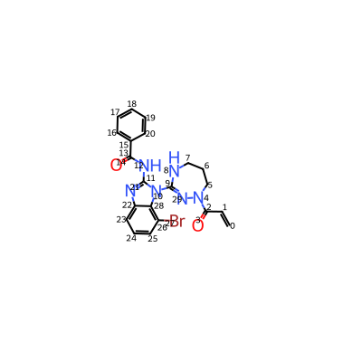 C=CC(=O)N1CCCNC(n2c(NC(=O)c3ccccc3)nc3cccc(Br)c32)=N1